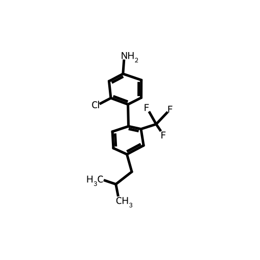 CC(C)Cc1ccc(-c2ccc(N)cc2Cl)c(C(F)(F)F)c1